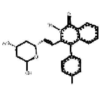 CC(C)n1c(C=C[C@H]2C[C@@H](O)CC(O)O2)c(-c2ccc(F)cc2)c2ccccc2c1=O